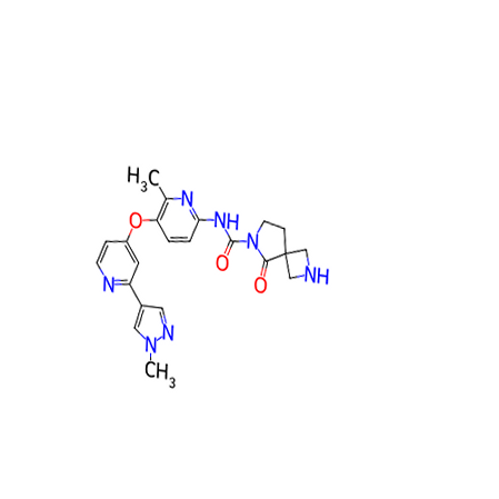 Cc1nc(NC(=O)N2CCC3(CNC3)C2=O)ccc1Oc1ccnc(-c2cnn(C)c2)c1